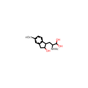 CCCCCCCCc1ccc2c(c1)CC(O)C2CC(NC(C)=O)C(O)O